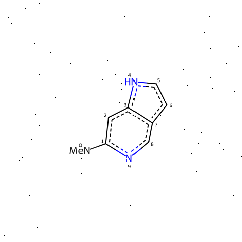 CNc1cc2[nH]ccc2cn1